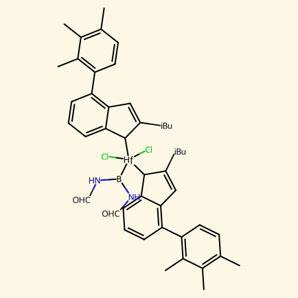 CCC(C)C1=Cc2c(-c3ccc(C)c(C)c3C)cccc2[CH]1[Hf]([Cl])([Cl])([B](NC=O)NC=O)[CH]1C(C(C)CC)=Cc2c(-c3ccc(C)c(C)c3C)cccc21